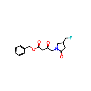 O=C(CC(=O)OCc1ccccc1)CN1CC(CF)CC1=O